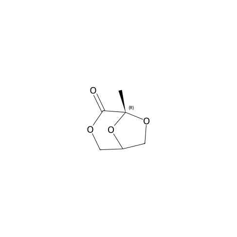 C[C@]12OCC(COC1=O)O2